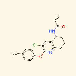 C=CC(=O)NC1CCCc2nc(Oc3ccc(C(F)(F)F)cc3)c(Cl)cc21